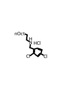 CCCCCCCCCCNCc1ccc(Cl)cc1Cl.Cl